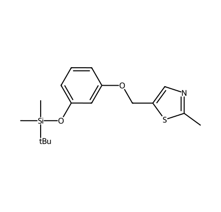 Cc1ncc(COc2cccc(O[Si](C)(C)C(C)(C)C)c2)s1